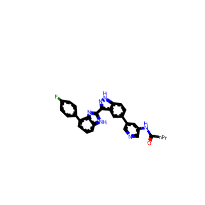 CCCC(=O)Nc1cncc(-c2ccc3[nH]nc(-c4nc5c(-c6ccc(F)cc6)cccc5[nH]4)c3c2)c1